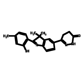 Cc1ccc(C2=Nc3ccc(C4=NNC(=O)CC4)cc3C2(C)C)c(S)c1